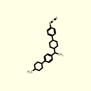 CC1CCC(c2ccc(C(C)C3CCC(c4ccc(N=C=S)cc4)CC3)cc2)CC1